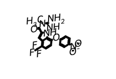 CN(C(=N)N)C(=O)c1cc2c(C(F)(F)F)ccc(Oc3ccc([N+](=O)[O-])cc3)c2[nH]1